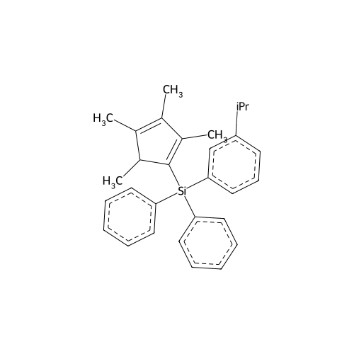 CC1=C(C)C(C)C([Si](c2ccccc2)(c2ccccc2)c2cccc(C(C)C)c2)=C1C